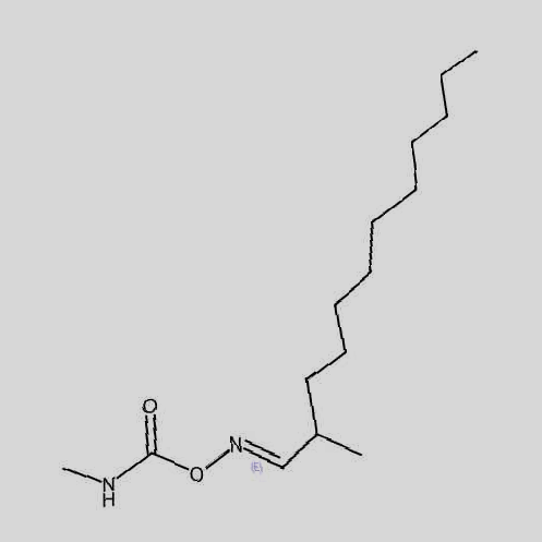 CCCCCCCCCCC(C)/C=N/OC(=O)NC